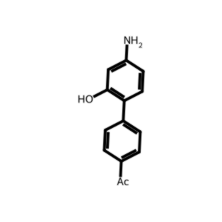 CC(=O)c1ccc(-c2ccc(N)cc2O)cc1